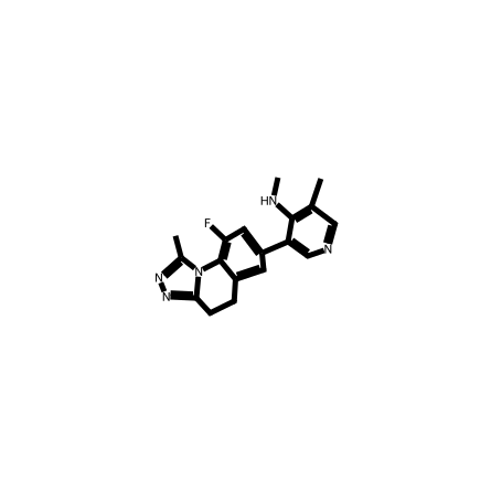 CNc1c(C)cncc1-c1cc(F)c2c(c1)CCc1nnc(C)n1-2